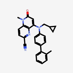 Cc1ccccc1-c1ccc(N(CC2CC2)c2cc(=O)n(C)c3ccc(C#N)nc23)cc1